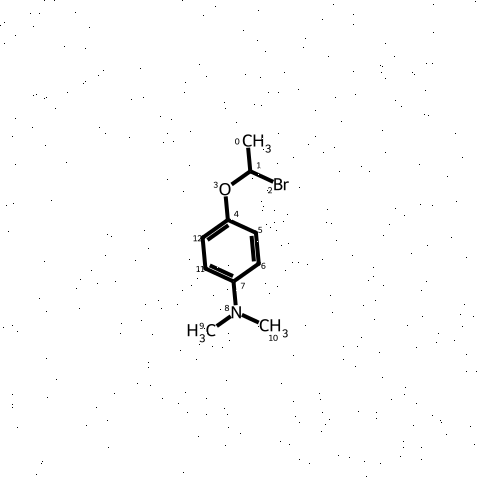 CC(Br)Oc1ccc(N(C)C)cc1